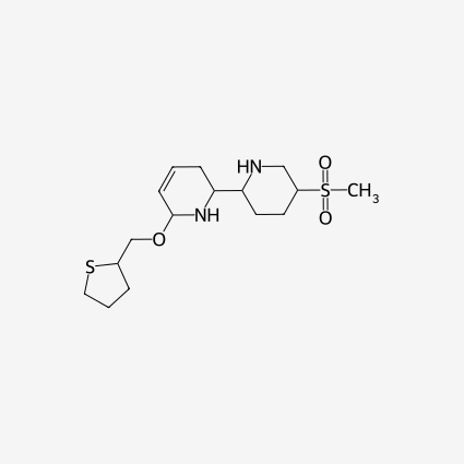 CS(=O)(=O)C1CCC(C2CC=CC(OCC3CCCS3)N2)NC1